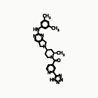 Cc1cc(C)cc(Nc2ncc3c(n2)CN([C@@H]2CCN(C(=O)c4ccnc(-c5nnn[nH]5)c4)[C@H](C)C2)C3)c1